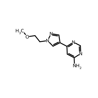 COCCn1cc(-c2cc(N)ncn2)cn1